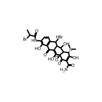 Br.CC(Br)C(=O)Nc1ccc2c(c1O)C(=O)C1=C(O)C3(O)C(=O)C(C(N)=O)=C(O)[C@@H](N(C)C)C3C(O)C1C2C